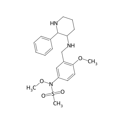 COc1ccc(N(OC)S(C)(=O)=O)cc1CNC1CCCNC1c1ccccc1